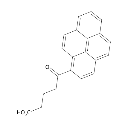 O=C(O)CCCC(=O)c1ccc2ccc3cccc4ccc1c2c34